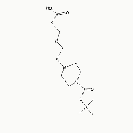 CC(C)(C)OC(=O)N1CCN(CCOCCC(=O)O)CC1